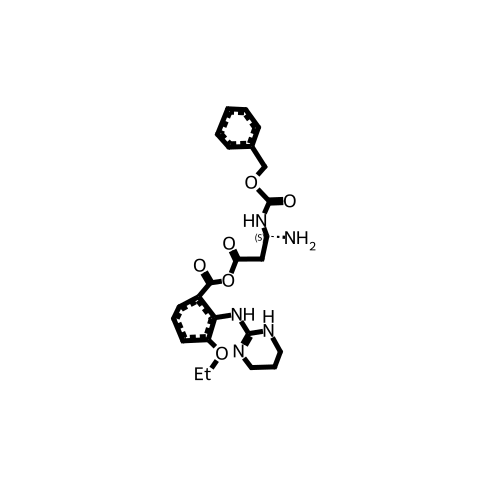 CCOc1cccc(C(=O)OC(=O)C[C@@H](N)NC(=O)OCc2ccccc2)c1NC1=NCCCN1